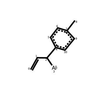 C=C[CH]([Al])c1ccc(C)cc1